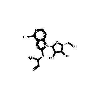 Nc1ncnc2c1nc(OC(N)C=O)n2[C@@H]1O[C@H](CO)C(O)C1O